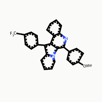 COc1ccc(-c2nc3ccccc3c3c(-c4ccc(C(F)(F)F)cc4)c4ccccn4c23)cc1